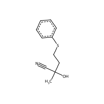 CC(O)(C#N)CCSc1ccccc1